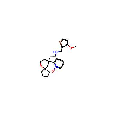 COc1ccsc1CNCC[C@@]1(c2cccc[n+]2[O-])CCOC2(CCCC2)C1